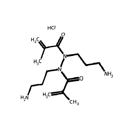 C=C(C)C(=O)N(CCCN)N(CCCN)C(=O)C(=C)C.Cl